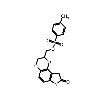 Cc1ccc(S(=O)(=O)OCC2COc3ccc4c(c3O2)CC(=O)N4)cc1